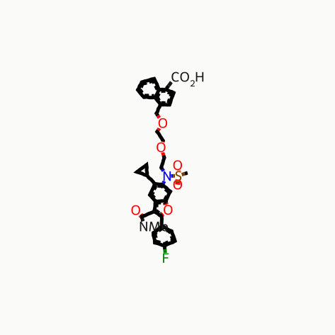 CNC(=O)c1c(-c2ccc(F)cc2)oc2cc(N(CCOCCOCc3ccc(C(=O)O)c4ccccc34)S(C)(=O)=O)c(C3CC3)cc12